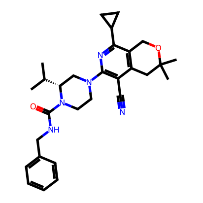 CC(C)[C@@H]1CN(c2nc(C3CC3)c3c(c2C#N)CC(C)(C)OC3)CCN1C(=O)NCc1ccccc1